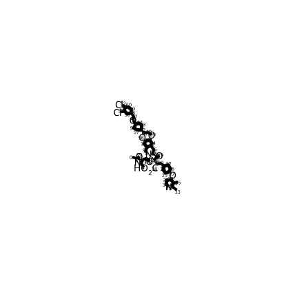 Cc1nc(C)c(C(=O)N2Cc3cc4c(cc3C[C@H]2C(=O)NC(Cc2ccc(Oc3ccnc(C)c3C)cc2)C(=O)O)OC[C@H](c2ccc(OCc3ccc(Cl)c(Cl)c3)cc2)O4)o1